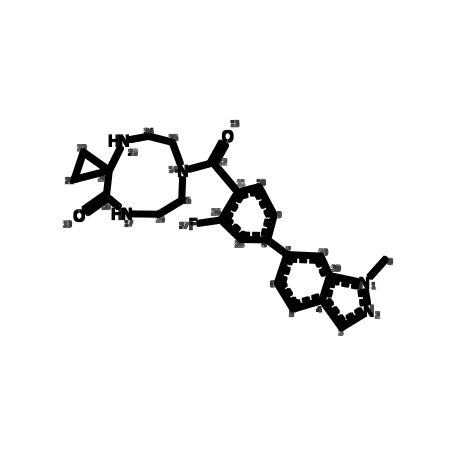 Cn1ncc2ccc(-c3ccc(C(=O)N4CCNC(=O)C5(CC5)NCC4)c(F)c3)cc21